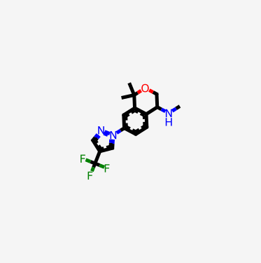 CNC1COC(C)(C)c2cc(-n3cc(C(F)(F)F)cn3)ccc21